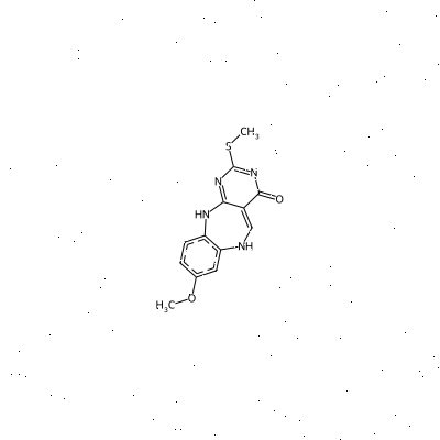 COc1ccc2c(c1)NC=C1C(=O)N=C(SC)N=C1N2